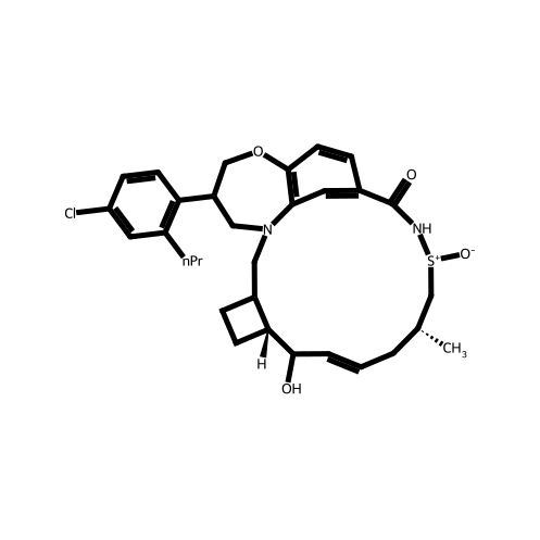 CCCc1cc(Cl)ccc1C1COc2ccc3cc2N(C1)CC1CC[C@H]1C(O)/C=C/C[C@@H](C)C[S+]([O-])NC3=O